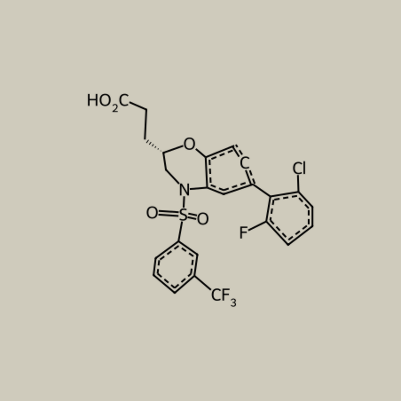 O=C(O)CC[C@H]1CN(S(=O)(=O)c2cccc(C(F)(F)F)c2)c2cc(-c3c(F)cccc3Cl)ccc2O1